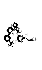 C#CCNc1nccc(NC(=O)N2c3nc(-c4cccc(C5(C(F)(F)F)N=N5)c4)ccc3N3CC[C@H]2C3)n1